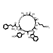 CC[C@@H]1NC(=O)[C@H](CCCCN)NC(=O)[C@@H](Cc2c[nH]c3ccccc23)NC(=O)[C@H](Cc2ccc(O)cc2)NC(=O)[C@@H](NC(=O)[C@H](N)Cc2ccccc2)CSSC[C@@H](C(C)=O)NC1=O